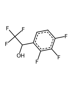 OC(c1ccc(F)c(F)c1F)C(F)(F)F